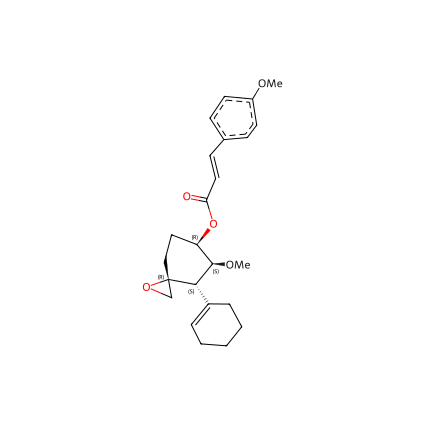 COc1ccc(C=CC(=O)O[C@@H]2CC[C@]3(CO3)[C@@H](C3=CCCCC3)[C@@H]2OC)cc1